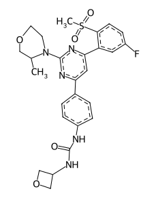 CC1COCCN1c1nc(-c2ccc(NC(=O)NC3COC3)cc2)cc(-c2cc(F)ccc2S(C)(=O)=O)n1